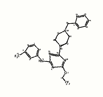 FC(F)(F)COc1nc(Nc2cccc(C(F)(F)F)c2)nc(N2CCN(Cc3ccccn3)CC2)n1